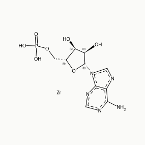 Nc1ncnc2c1ncn2[C@@H]1O[C@H](COP(=O)(O)O)[C@@H](O)[C@H]1O.[Zr]